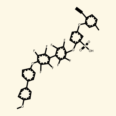 C#Cc1ccc(C)cc1Oc1ccc(Oc2c(F)c(F)c(-c3c(F)c(F)c(Oc4ccc(-c5ccc(OC)cc5)cc4)c(F)c3F)c(F)c2F)c(S(=O)(=O)O)c1